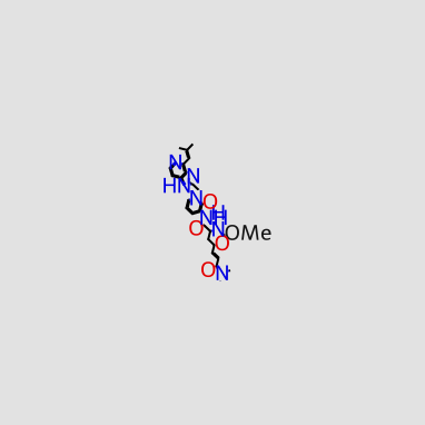 COC(=O)NC(CCC=CC(=O)N(C)C)C(=O)Nc1cccn(Cc2nc3c(C=C(C)C)nccc3[nH]2)c1=O